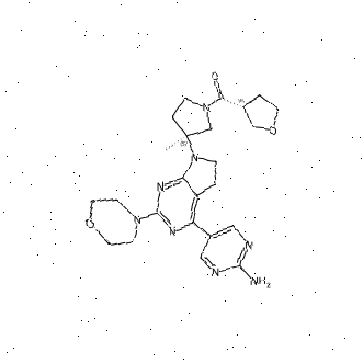 C[C@]1(N2CCc3c(-c4cnc(N)nc4)nc(N4CCOCC4)nc32)CCN(C(=O)[C@@H]2CCOC2)C1